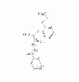 O=C(O)COc1ccccc1OC(C(=O)O)C(=O)NNC(=O)C1CCNCC1